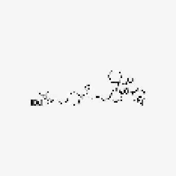 CC(C)(C)[Si](C)(C)OCCC1CCN(C(=O)CCCc2cccc(C3(C(=O)OC4CN5CCC4CC5)CCCCC3)c2)CC1